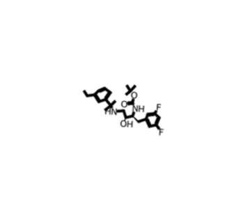 CCc1cccc(C(C)(C)NC[C@@H](O)[C@H](Cc2cc(F)cc(F)c2)NC(=O)OC(C)(C)C)c1